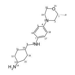 C[C@@H]1CN(c2ccc(NCC3CCC(N)CC3)cc2)CCO1